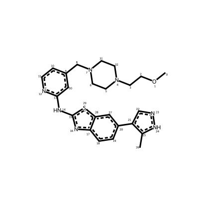 COCCN1CCN(Cc2ccnc(Nc3nc4ccc(-c5cn[nH]c5C)cc4s3)c2)CC1